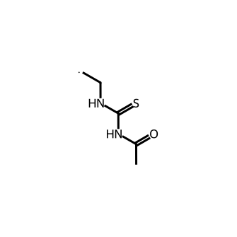 [CH2]CNC(=S)NC(C)=O